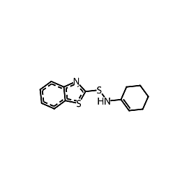 C1=C(NSc2nc3ccccc3s2)CCCC1